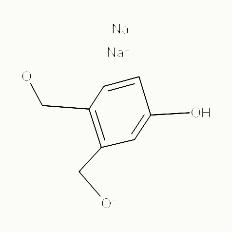 [Na+].[Na+].[O-]Cc1ccc(O)cc1C[O-]